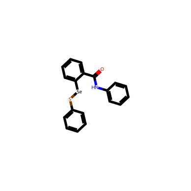 O=C(Nc1ccccc1)c1ccccc1[Se]Sc1ccccc1